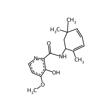 COc1ccnc(C(=O)NC2CC(C)(C)C=CC=C2C)c1O